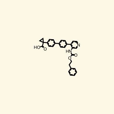 O=C(Nc1cnccc1-c1ccc(-c2ccc(C3(C(=O)O)CC3)cc2)cc1)OCCc1ccccc1